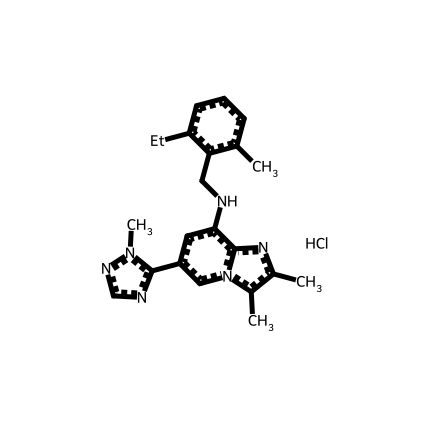 CCc1cccc(C)c1CNc1cc(-c2ncnn2C)cn2c(C)c(C)nc12.Cl